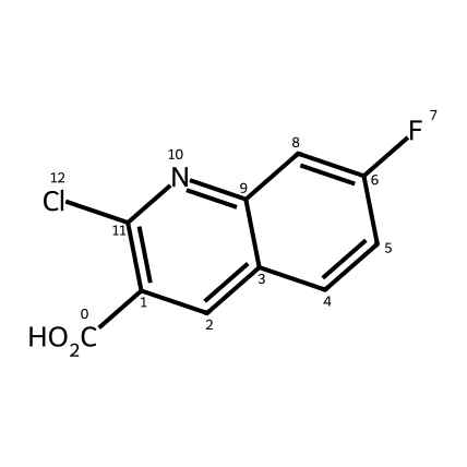 O=C(O)c1cc2ccc(F)cc2nc1Cl